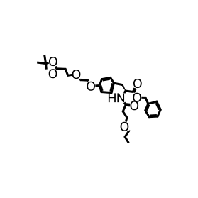 CCCOCCC(=O)N[C@@H](Cc1ccc(OCCOCCC(=O)OC(C)(C)C)cc1)C(=O)OCc1ccccc1